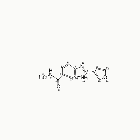 O=C(NO)c1ccc2nc(-c3ccoc3)[nH]c2c1